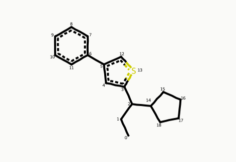 CCC(c1cc(-c2ccccc2)cs1)C1CCCC1